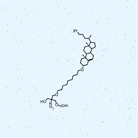 CCCCCCCCCCOCC(N)(CO)COCCCCCCCCCO[C@H]1CC[C@@]2(C)C(=CCC3C4CCC(C(C)CCCC(C)C)[C@@]4(C)CCC32)C1